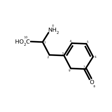 NC(CC1=CC=CC(=O)C1)C(=O)O